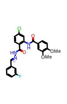 COc1ccc(C(=O)Nc2cc(Cl)ccc2C(=O)N/N=C/c2cccc(F)c2)cc1OC